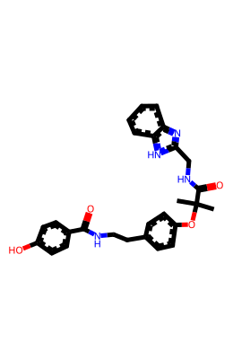 CC(C)(Oc1ccc(CCNC(=O)c2ccc(O)cc2)cc1)C(=O)NCc1nc2ccccc2[nH]1